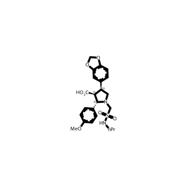 CCCNS(=O)(=O)CN1C[C@H](c2ccc3c(c2)OCO3)[C@H](C(=O)O)[C@H]1c1ccc(OC)cc1